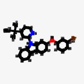 [2H]C([2H])(c1ccnc(-n2c3ccccc3c3ccc(Oc4cccc(Br)c4)cc32)c1)C(C)(C)C